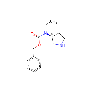 CCN(C(=O)OCc1ccccc1)[C@H]1CCNC1